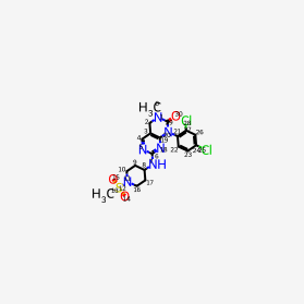 CN1Cc2cnc(NC3CCN(S(C)(=O)=O)CC3)nc2N(c2ccc(Cl)cc2Cl)C1=O